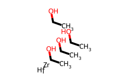 CCO.CCO.CCO.CCO.[Hf].[Zr]